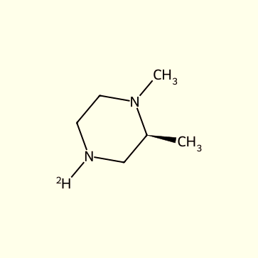 [2H]N1CCN(C)[C@@H](C)C1